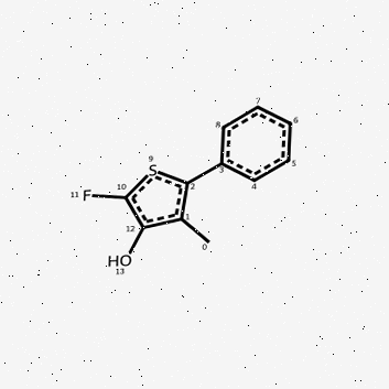 Cc1c(-c2ccccc2)sc(F)c1O